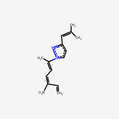 C=C/C(=C\C=C(/C)n1ccc(C=C(C)C)n1)[N+](=O)[O-]